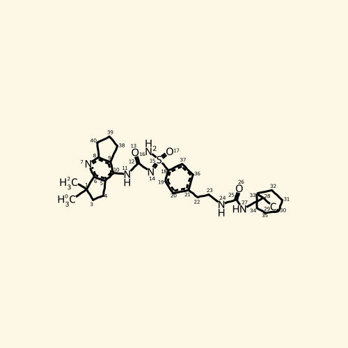 CC1(C)CCc2c1nc1c(c2NC(=O)N=S(N)(=O)c2ccc(CCNC(=O)NC3CC4CCC3CC4)cc2)CCC1